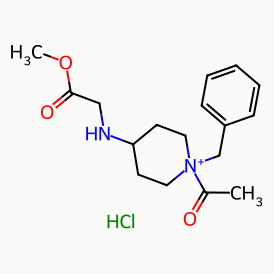 COC(=O)CNC1CC[N+](Cc2ccccc2)(C(C)=O)CC1.Cl